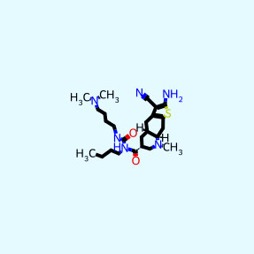 CCCCN(C(=O)NCCCCN(C)C)C(=O)[C@@H]1C[C@@H]2Cc3c(sc(N)c3C#N)C[C@H]2N(C)C1